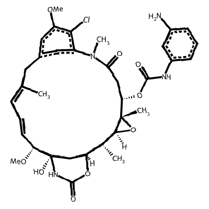 COc1cc2cc(c1Cl)N(C)C(=O)C[C@H](OC(=O)Nc1cccc(N)c1)[C@]1(C)O[C@H]1[C@H](C)[C@@H]1C[C@@](O)(NC(=O)O1)[C@H](OC)/C=C/C=C(\C)C2